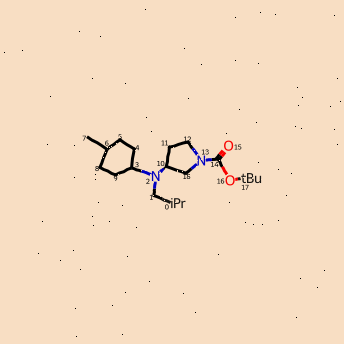 CC(C)CN(C1CCC(C)CC1)[C@H]1CCN(C(=O)OC(C)(C)C)C1